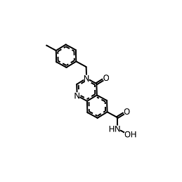 Cc1ccc(Cn2cnc3ccc(C(=O)NO)cc3c2=O)cc1